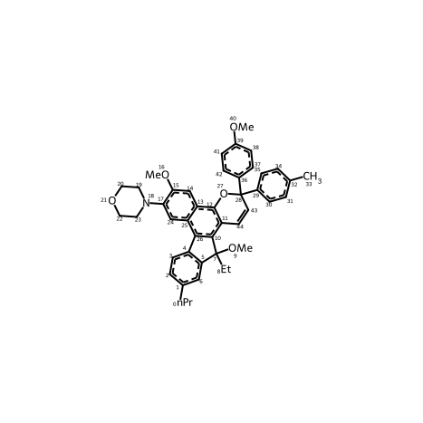 CCCc1ccc2c(c1)C(CC)(OC)c1c3c(c4cc(OC)c(N5CCOCC5)cc4c1-2)OC(c1ccc(C)cc1)(c1ccc(OC)cc1)C=C3